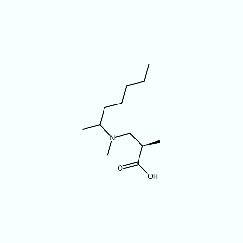 CCCCCC(C)N(C)C[C@@H](C)C(=O)O